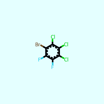 Fc1c(F)c(Br)c(Cl)c(Cl)c1Cl